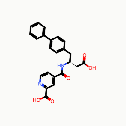 O=C(O)C[C@@H](Cc1ccc(-c2ccccc2)cc1)NC(=O)c1ccnc(C(=O)O)c1